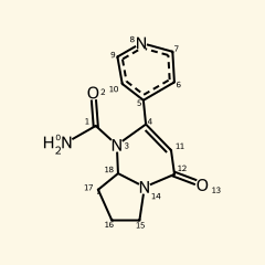 NC(=O)N1C(c2ccncc2)=CC(=O)N2CC[CH]C21